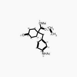 C=C.COC(=O)C1(Cc2ccc(NC(C)=O)cc2)CCC(=O)CC1